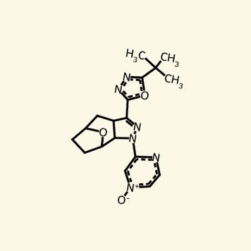 CC(C)(C)c1nnc(C2=NN(c3c[n+]([O-])ccn3)C3C4CCC(CC23)O4)o1